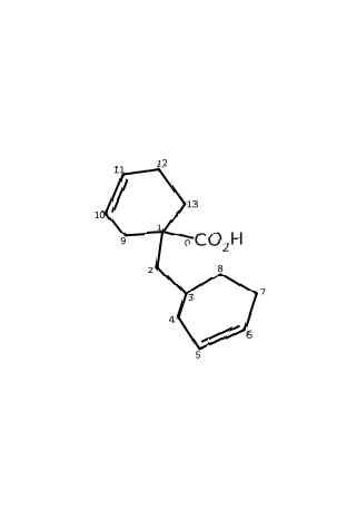 O=C(O)C1(CC2CC=CCC2)CC=CCC1